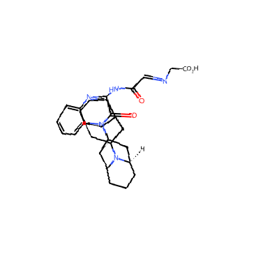 O=C(O)C/N=C/C(=O)Nc1nc2ccccc2n(C2CC3CCC[C@H](C2)N3C2CC3CCCC(C3)C2)c1=O